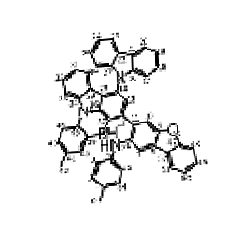 Cc1ccc(Nc2cc3c(cc2-c2cc(-n4c5ccccc5c5ccccc54)c4c5ccccc5n5c4c2Bc2cc(C)ccc2-5)oc2ccccc23)cc1